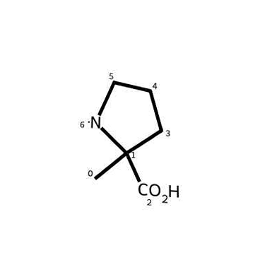 CC1(C(=O)O)CCC[N]1